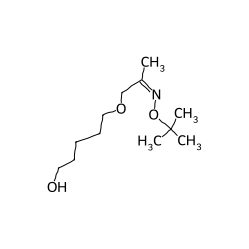 CC(COCCCCCO)=NOC(C)(C)C